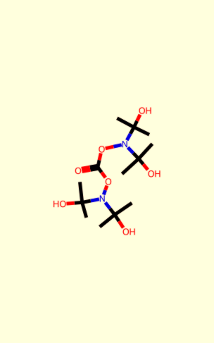 CC(C)(O)N(OC(=O)ON(C(C)(C)O)C(C)(C)O)C(C)(C)O